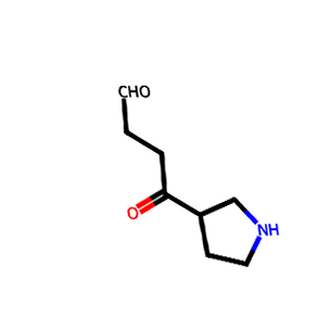 O=CCCC(=O)C1CCNC1